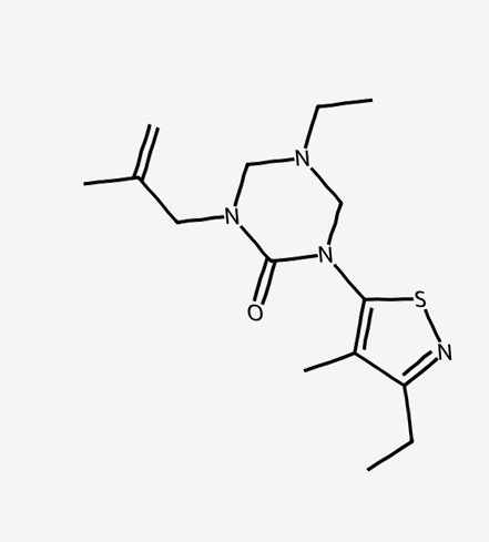 C=C(C)CN1CN(CC)CN(c2snc(CC)c2C)C1=O